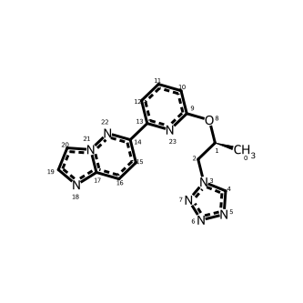 C[C@@H](Cn1cnnn1)Oc1cccc(-c2ccc3nccn3n2)n1